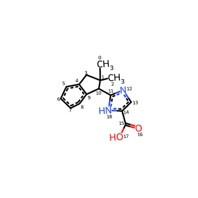 CC1(C)Cc2ccccc2C1c1ncc(C(=O)O)[nH]1